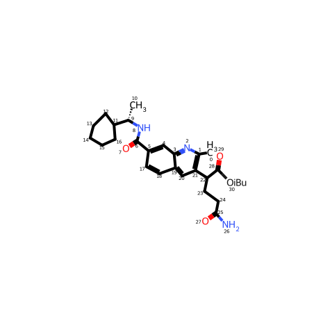 Cc1nc2cc(C(=O)N[C@@H](C)C3CCCCC3)ccc2cc1C(CCC(N)=O)C(=O)OCC(C)C